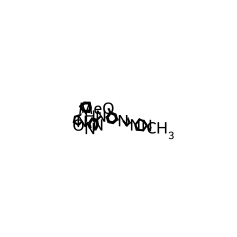 COc1cc(N2CC(N3CCN(C)CC3)C2)ccc1Nc1cc(N2OCC[C@@H]2c2ccccc2)ncn1